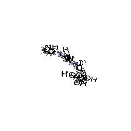 COc1cc(O[C@@H]2O[C@H](CO)[C@@H](O)[C@H](C)[C@H]2O)ccc1/C=C/c1cc(/C=C/c2ccc3cc[nH]c3c2)[nH]n1